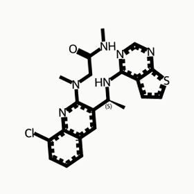 CNC(=O)CN(C)c1nc2c(Cl)cccc2cc1[C@H](C)Nc1ncnc2sccc12